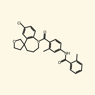 Cc1ccccc1C(=O)Nc1ccc(C(=O)N2CCCC3(CCOC3)c3cc(Cl)ccc32)c(C)c1